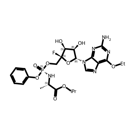 CCOc1nc(N)nc2c1ncn2[C@@H]1O[C@](F)(CO[P@@](=O)(N[C@@H](C)C(=O)OC(C)C)Oc2ccccc2)[C@@H](O)[C@H]1O